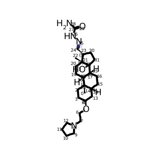 C[C@]12CC[C@H](OCCN3CCCC3)C[C@H]1CC[C@@H]1[C@@H]2CC[C@]2(C)[C@@H](/C=N/NC(N)=O)CC[C@]12O